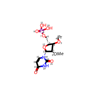 CO[C@H]1C(OC(C)C)[C@@H](COP(=O)(O)O)O[C@H]1n1ccc(=O)[nH]c1=O